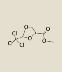 COC(=O)C1COC(C(Cl)(Cl)Cl)O1